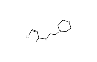 CC/C=C\C(C)OCCN1CCOCC1